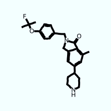 Cc1cc(C2CCNCC2)cc2c1C(=O)N(Cc1ccc(OC(C)(C)F)cc1)C2